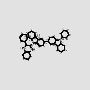 C1=CCC(C2NC3=C(CCCC3)NC2N2C3=CCC(C4CCC5C(C4)C4CCCCC4N5C4CCCCC4)C=C3[C@H]3CCCCC32)CC1